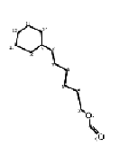 O=COCCCCCCC1CCCCC1